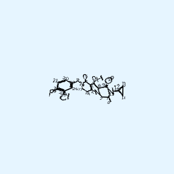 CC1Cn2c3c(c(O)c2C(=O)N1C1CC1)C(=O)N(Cc1ccc(F)c(Cl)c1)CC3